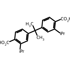 CC(C)c1cc(C(C)(C)c2ccc(C(=O)O)c(C(C)C)c2)ccc1C(=O)O